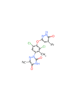 Cc1c(-n2nc(C#N)c(=O)[nH]c2=O)cc(Cl)c(Oc2cc(C(C)C)c(=O)[nH]n2)c1Cl